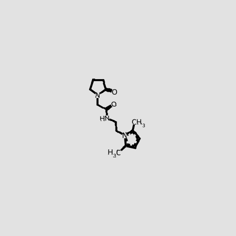 Cc1ccc(C)n1CCNC(=O)CN1CCCC1=O